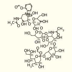 CC(=O)NC(CNc1ccccc1OC=O)[C@@H](O)[C@H](O[C@@H]1OC(CO)[C@@H](O)[C@H](O[C@H]2OC(CO)[C@@H](O)C(O)C2O[C@@H]2OC(CO)[C@@H](O[C@@H]3OC(CO[C@]4(OC=O)C[C@@H](O)[C@@H](C)C([C@H](O)[C@H](O)CO)O4)[C@H](O)[C@H](O)C3O)[C@H](O)C2NC(C)=O)C1O)C(O)CO